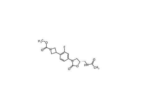 COC(=O)N1CC(c2ccc(N3C[C@H](CNC(C)=O)OC3=O)cc2F)C1